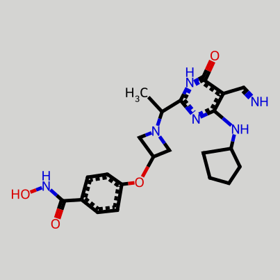 CC(c1nc(NC2CCCC2)c(C=N)c(=O)[nH]1)N1CC(Oc2ccc(C(=O)NO)cc2)C1